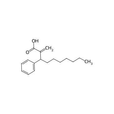 C=C(C(=O)O)C(CCCCCCC)c1ccccc1